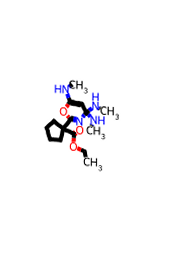 CCOC(=O)C1(C2=NC(NC)(NC)C=C(NC)O2)CCCC1